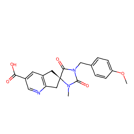 COc1ccc(CN2C(=O)N(C)[C@@]3(Cc4cc(C(=O)O)cnc4C3)C2=O)cc1